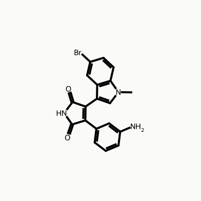 Cn1cc(C2=C(c3cccc(N)c3)C(=O)NC2=O)c2cc(Br)ccc21